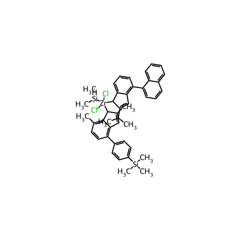 CC1=Cc2c(-c3ccc([Si](C)(C)C)cc3)ccc(C)c2[CH]1[Zr]([Cl])([Cl])([CH]1C(C(C)C)=Cc2c(-c3cccc4ccccc34)cccc21)[SiH](C)C